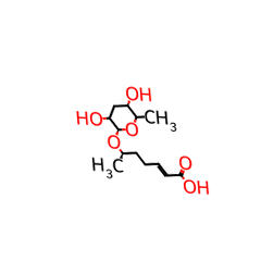 CC1O[C@@H](O[C@H](C)CC/C=C/C(=O)O)C(O)C[C@H]1O